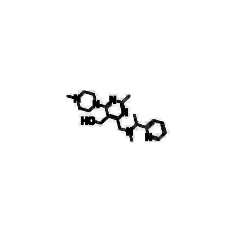 Cc1nc(CN(C)C(C)c2ccccn2)c(CO)c(N2CCN(C)CC2)n1